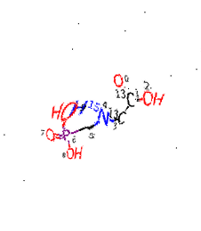 O=[13C](O)[13CH2][15NH]CP(=O)(O)O